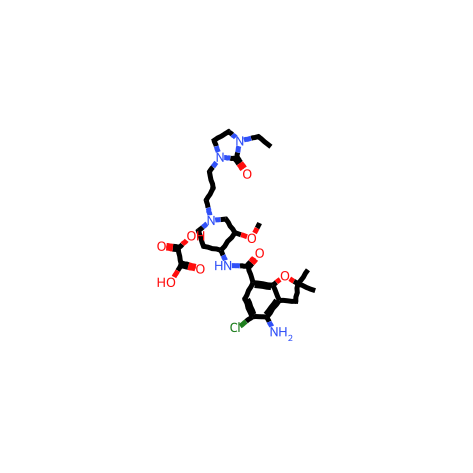 CCN1CCN(CCCN2CCC(NC(=O)c3cc(Cl)c(N)c4c3OC(C)(C)C4)C(OC)C2)C1=O.O=C(O)C(=O)O